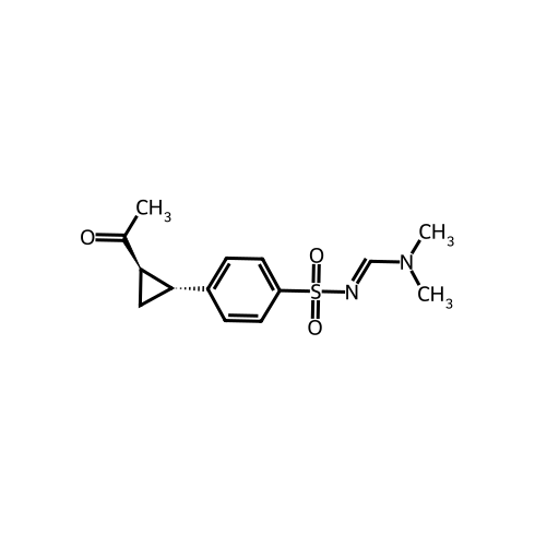 CC(=O)[C@@H]1C[C@H]1c1ccc(S(=O)(=O)N=CN(C)C)cc1